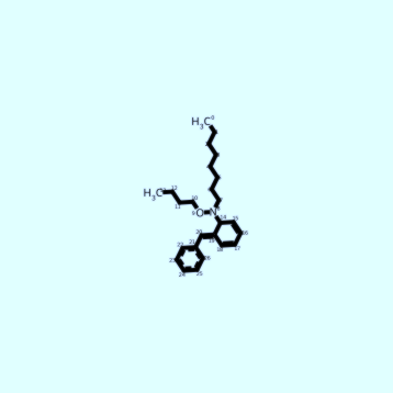 CCCCCCCCN(OCCCC)C1C=CC=CC1=Cc1ccccc1